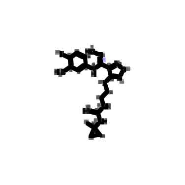 Bc1cc(N/C(=N\O)c2nonc2SCCNC(=N)NC2(C)CC2)ccc1F